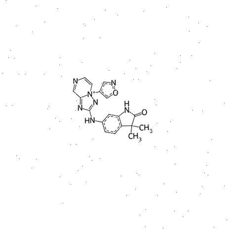 CC1(C)C(=O)Nc2cc(NC3=N[N+]4(c5cnoc5)C=CN=CC4=N3)ccc21